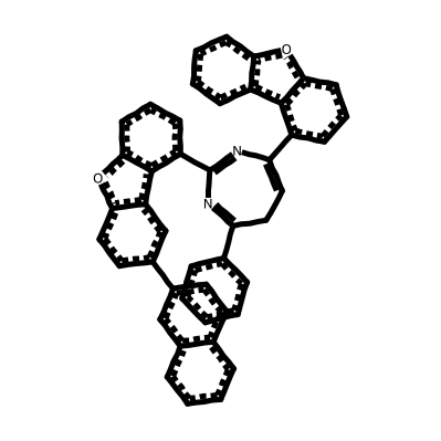 C1=C(c2cccc3oc4ccccc4c23)N=C(c2cccc3oc4ccc(-c5ccc6ccccc6c5)cc4c23)N=C(c2ccccc2)C1